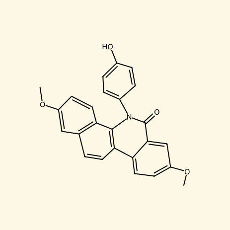 COc1ccc2c(ccc3c4ccc(OC)cc4c(=O)n(-c4ccc(O)cc4)c23)c1